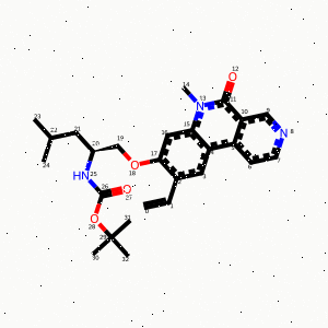 C=Cc1cc2c3ccncc3c(=O)n(C)c2cc1OC[C@H](CC(C)C)NC(=O)OC(C)(C)C